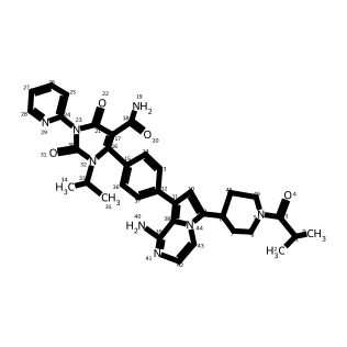 CC(C)C(=O)N1CCC(c2cc(-c3ccc(-c4c(C(N)=O)c(=O)n(-c5ccccn5)c(=O)n4C(C)C)cc3)c3c(N)nccn23)CC1